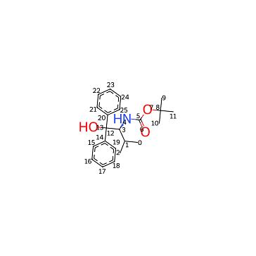 CC(C)[C@H](NC(=O)OC(C)(C)C)C(O)(c1ccccc1)c1ccccc1